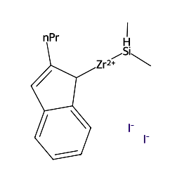 CCCC1=Cc2ccccc2[CH]1[Zr+2][SiH](C)C.[I-].[I-]